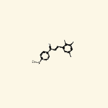 CCSc1ccc(C(=O)C=Cc2cc(C)cc(C)c2C)cc1